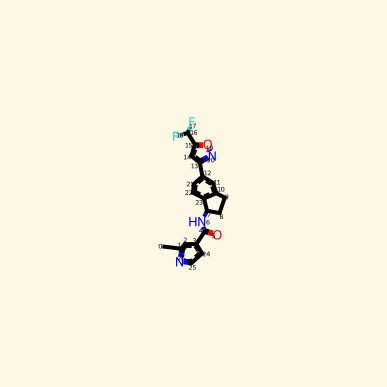 Cc1cc(C(=O)NC2CCc3cc(-c4cc(C(F)F)on4)ccc32)ccn1